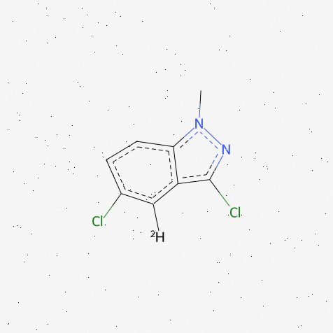 [2H]c1c(Cl)ccc2c1c(Cl)nn2C